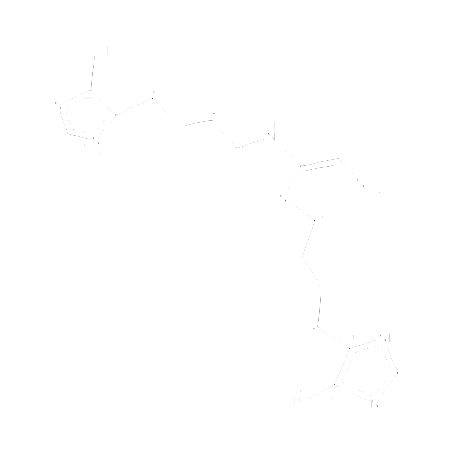 Cc1nc[nH]c1CSCCN/C(=C/[N+](=O)[O-])NCCSCc1[nH]cnc1Br